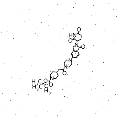 CC(C)(C)OC(=O)N1CCC(CC(=O)N2CCN(c3ccc4c(c3)CN(C3CCC(=O)NC3=O)C4=O)CC2)CC1